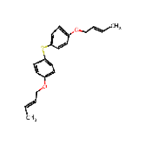 CC=CCOc1ccc(Sc2ccc(OCC=CC)cc2)cc1